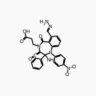 NN=Cc1cccc2c1C(=O)N(CCC(=O)O)C(=C=O)C(N)(c1ccccc1)N2c1ccc([N+](=O)[O-])cc1